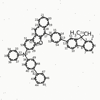 CC1(C)c2ccccc2-c2ccc(-c3ccc(-c4c5ccccc5cc5c4oc4cc(N(c6ccccc6)c6ccc(-c7ccccc7)cc6)ccc45)cc3)cc21